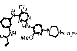 C=CC(=O)Nc1cccc(Nc2nc(Nc3ccc(N4CCN(C(=O)OCC)CC4)nc3OC)ncc2C(F)(F)F)c1